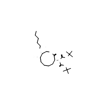 CCCCCO[C@H]1[C@H](C)OC(=O)[C@@H](N(C(=O)OC(C)(C)C)C(=O)OC(C)(C)C)CCCC[C@@H]1O